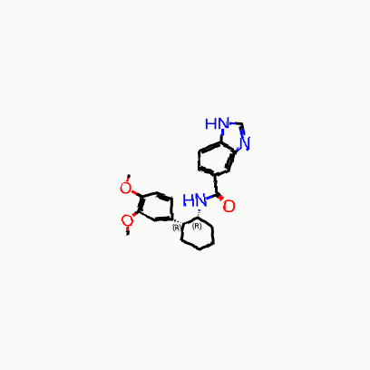 COc1ccc([C@H]2CCCC[C@H]2NC(=O)c2ccc3[nH]cnc3c2)cc1OC